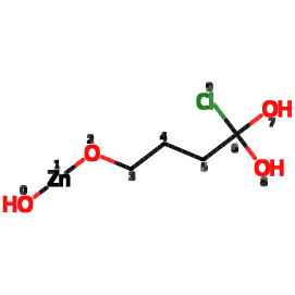 [OH][Zn][O]CCCC(O)(O)Cl